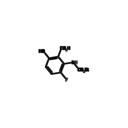 CCOC(=O)Nc1c(F)ccc(O)c1C(=O)O